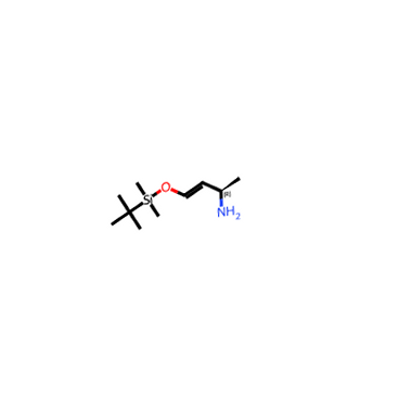 C[C@@H](N)C=CO[Si](C)(C)C(C)(C)C